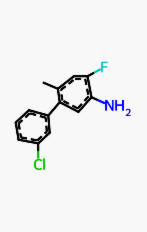 Cc1cc(F)c(N)cc1-c1cccc(Cl)c1